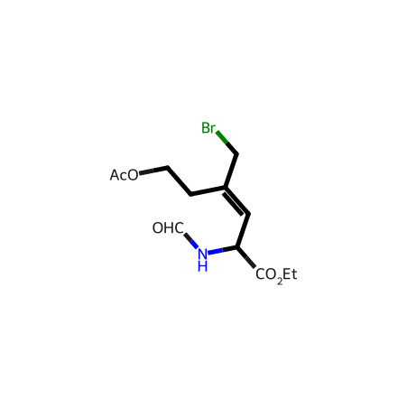 CCOC(=O)C(C=C(CBr)CCOC(C)=O)NC=O